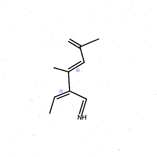 C=C(C)/C=C(C)/C(C=N)=C/C